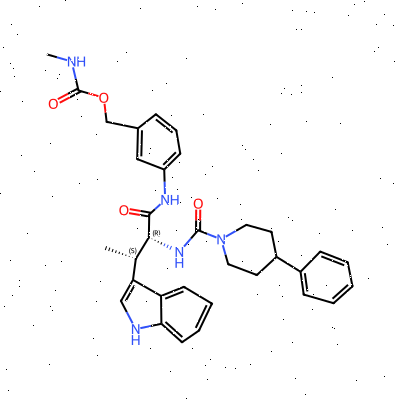 CNC(=O)OCc1cccc(NC(=O)[C@H](NC(=O)N2CCC(c3ccccc3)CC2)[C@@H](C)c2c[nH]c3ccccc23)c1